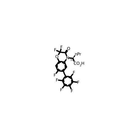 CCC[C@@H](C(=O)O)N1C(=O)C(F)(F)Oc2cc(F)c(-c3c(F)c(F)c(F)c(F)c3F)cc21